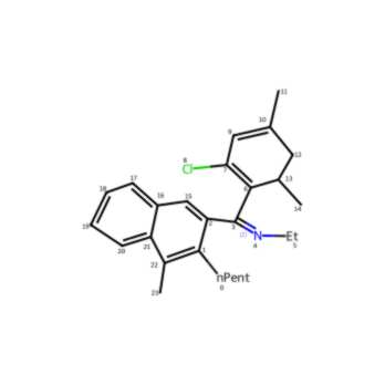 CCCCCc1c(/C(=N/CC)C2=C(Cl)C=C(C)CC2C)cc2ccccc2c1C